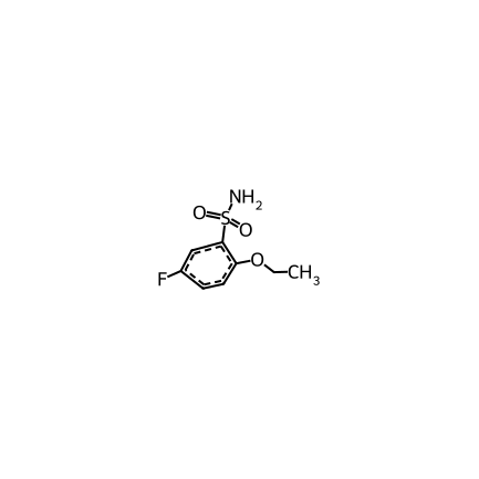 CCOc1ccc(F)cc1S(N)(=O)=O